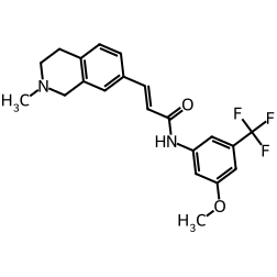 COc1cc(NC(=O)C=Cc2ccc3c(c2)CN(C)CC3)cc(C(F)(F)F)c1